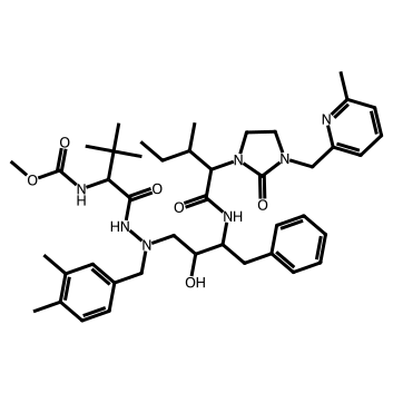 CCC(C)C(C(=O)NC(Cc1ccccc1)C(O)CN(Cc1ccc(C)c(C)c1)NC(=O)C(NC(=O)OC)C(C)(C)C)N1CCN(Cc2cccc(C)n2)C1=O